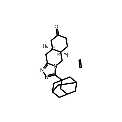 C=C.O=C1CC[C@H]2Cn3c(nnc3C34CC5CC(CC(C5)C3)C4)C[C@H]2C1